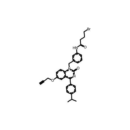 C#CCOc1ccc2c(c1)c(-c1ccc(C(C)C)cc1)nc(=O)n2Cc1cccc(NC(=O)CCCBr)c1